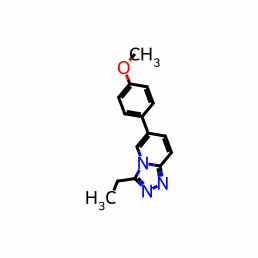 CCc1nnc2ccc(-c3ccc(OC)cc3)cn12